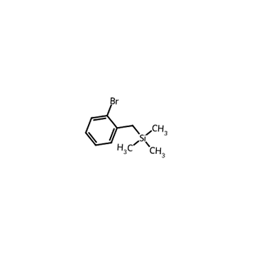 C[Si](C)(C)Cc1ccccc1Br